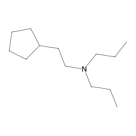 CCCN(CCC)CCC1CCCC1